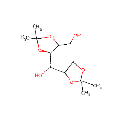 CC1(C)OCC([C@H](O)[C@H]2OC(C)(C)OC2CO)O1